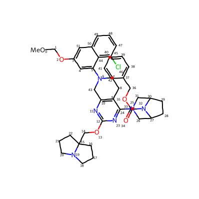 COCOc1cc(N2CCc3c(nc(OCC45CCCN4CCC5)nc3N3CC4CCC(C3)N4C(=O)OCc3ccccc3)C2)c2c(Cl)cccc2c1